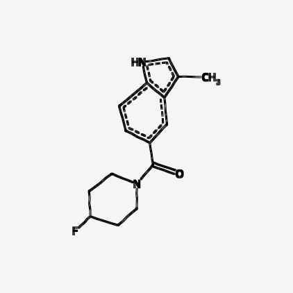 Cc1c[nH]c2ccc(C(=O)N3CCC(F)CC3)cc12